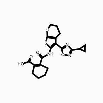 O=C(O)C1=C(C(=O)Nc2sc3c(c2-c2nc(C4CC4)no2)CCCO3)CCCC1